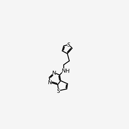 c1nc(NCCc2ccsc2)c2ccsc2n1